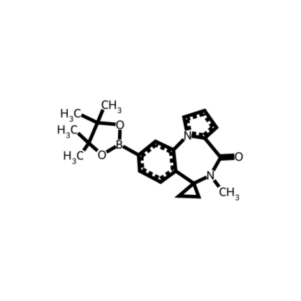 CN1C(=O)c2cccn2-c2cc(B3OC(C)(C)C(C)(C)O3)ccc2C12CC2